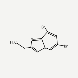 CCc1cn2cc(Br)cc(Br)c2n1